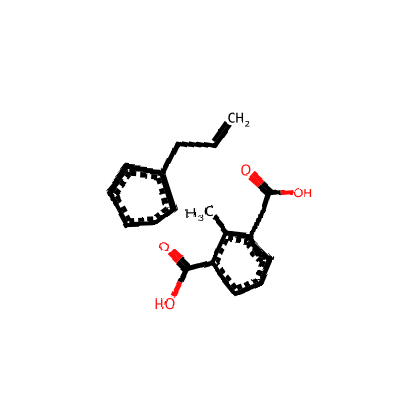 C=CCc1ccccc1.Cc1c(C(=O)O)cccc1C(=O)O